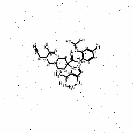 COc1cnn(C2(C(=O)Nc3ccc(Cl)cc3OC(F)F)CCN(C[C@@H](CC#N)C(=O)O)CC2)c1C(C)C